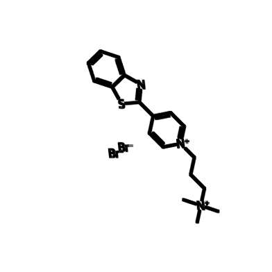 C[N+](C)(C)CCC[n+]1ccc(-c2nc3ccccc3s2)cc1.[Br-].[Br-]